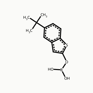 CC(C)(C)c1ccc2sc(OB(O)O)cc2c1